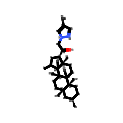 CC1C[C@H](C(=O)Cn2cc(C#N)cn2)[C@@]2(C)CC[C@H]3[C@@H](CC[C@@H]4C[C@@H](C)CC[C@@H]43)[C@H]12